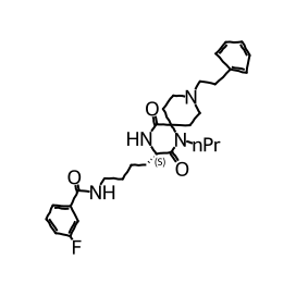 CCCN1C(=O)[C@H](CCCCNC(=O)c2cccc(F)c2)NC(=O)C12CCN(CCc1ccccc1)CC2